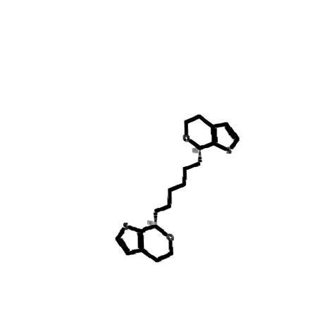 c1cc2c(s1)[C@H](CCCCCC[C@@H]1OCCc3ccsc31)OCC2